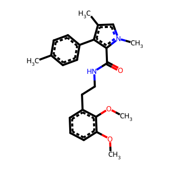 COc1cccc(CCNC(=O)c2c(-c3ccc(C)cc3)c(C)cn2C)c1OC